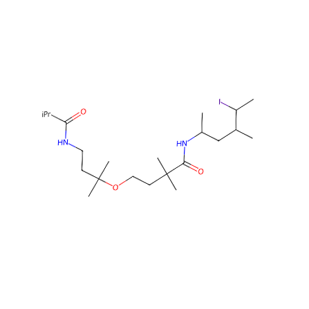 CC(CC(C)C(C)I)NC(=O)C(C)(C)CCOC(C)(C)CCNC(=O)C(C)C